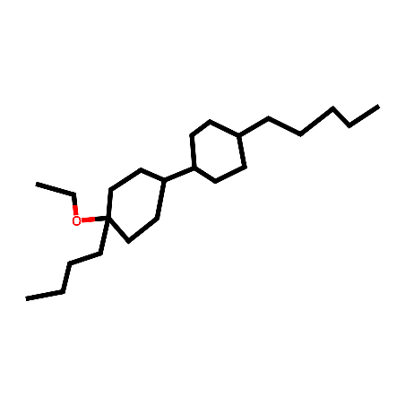 CCCCCC1CCC(C2CCC(CCCC)(OCC)CC2)CC1